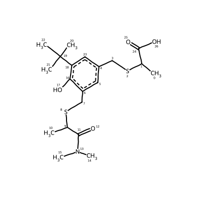 CC(SCc1cc(CSC(C)C(=O)N(C)C)c(O)c(C(C)(C)C)c1)C(=O)O